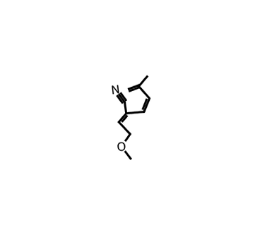 C=C(C)/C=C\C(C#N)=C/COC